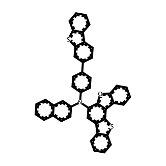 c1ccc2cc(N(c3ccc(-c4ccc5c(c4)sc4ccccc45)cc3)c3cc4c5ccccc5sc4c4c3oc3ccccc34)ccc2c1